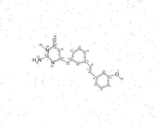 COc1cccc(/C=C/c2cccc(Cc3cc(=O)n(C)c(N)n3)c2)c1